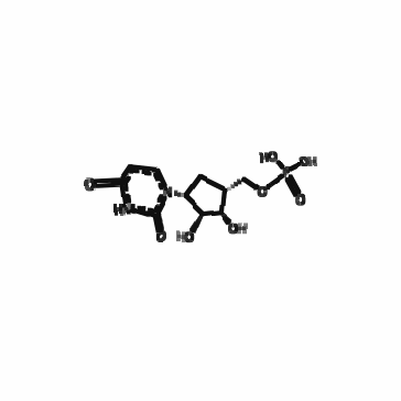 O=c1ccn([C@@H]2C[C@H](COP(=O)(O)O)[C@@H](O)[C@H]2O)c(=O)[nH]1